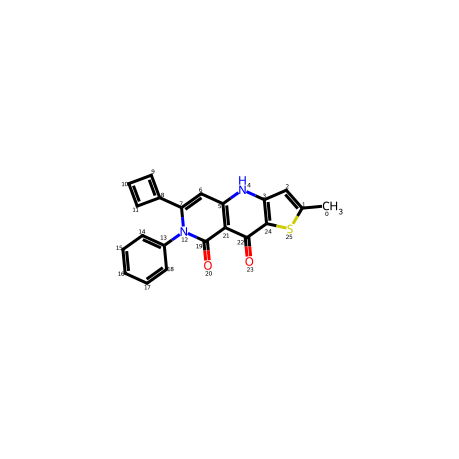 Cc1cc2[nH]c3cc(C4=CC=C4)n(-c4ccccc4)c(=O)c3c(=O)c2s1